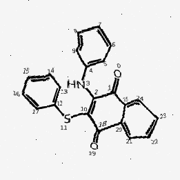 O=C1C(Nc2ccccc2)=C(Sc2ccccc2)C(=O)c2ccccc21